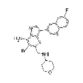 Nc1c(Br)c(CNC2CCOCC2)nc2c(-c3cnc4ccc(F)cc4c3)cnn12